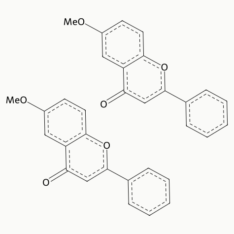 COc1ccc2oc(-c3ccccc3)cc(=O)c2c1.COc1ccc2oc(-c3ccccc3)cc(=O)c2c1